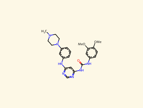 COc1ccc(NC(=O)Nc2cc(Nc3cccc(N4CCN(C)CC4)c3)ncn2)cc1OC